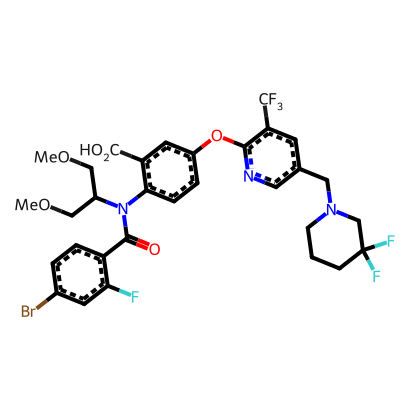 COCC(COC)N(C(=O)c1ccc(Br)cc1F)c1ccc(Oc2ncc(CN3CCCC(F)(F)C3)cc2C(F)(F)F)cc1C(=O)O